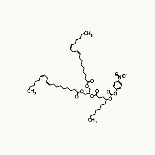 CCCCC/C=C\C/C=C\CCCCCCCC(=O)OCC(COC(=O)CCCCCCC/C=C\C/C=C\CCCCC)OC(=O)CCC(CCCCCCC)OC(=O)Oc1ccc([N+](=O)[O-])cc1